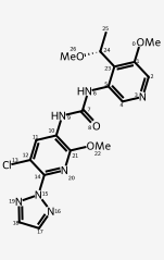 COc1cncc(NC(=O)Nc2cc(Cl)c(-n3nccn3)nc2OC)c1[C@@H](C)OC